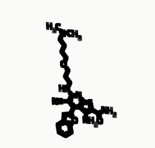 CN(C)CCCCOCCCNc1nc2sc(C(N)=O)c(N)c2c(-c2cc3ccccc3o2)c1C#N